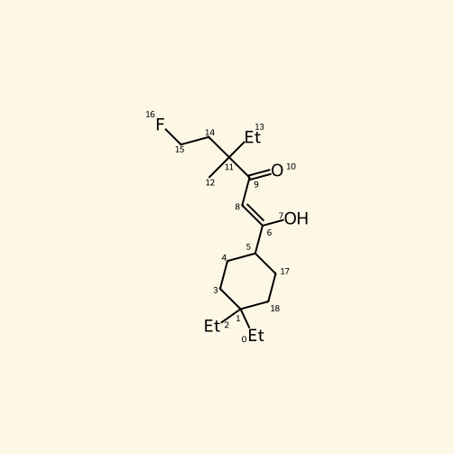 CCC1(CC)CCC(/C(O)=C/C(=O)C(C)(CC)CCF)CC1